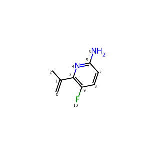 C=C(C)c1nc(N)ccc1F